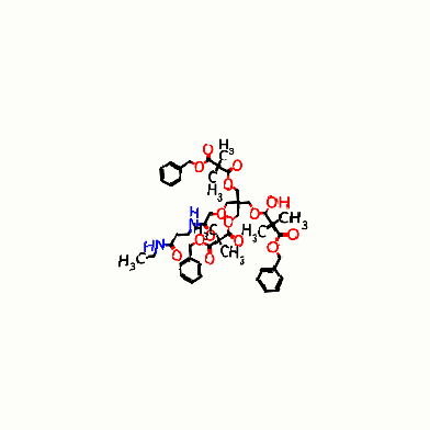 CCNC(=O)CCNC(=O)COCC(COC(=O)C(C)(C)C(=O)OCc1ccccc1)(COC(=O)C(C)(C)C(=O)OCc1ccccc1)COC(O)C(C)(C)C(=O)OCc1ccccc1